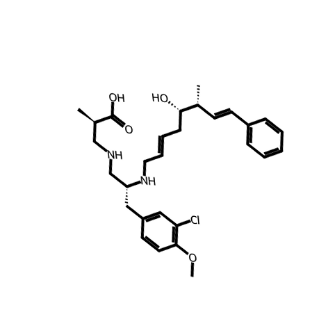 COc1ccc(C[C@H](CNC[C@@H](C)C(=O)O)NC/C=C/C[C@H](O)[C@H](C)/C=C/c2ccccc2)cc1Cl